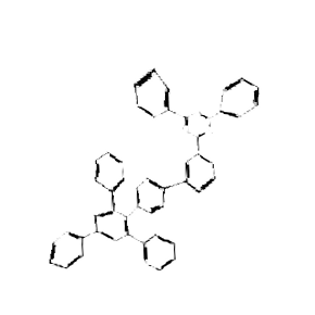 c1ccc(-c2cc(-c3ccccc3)c(-c3ccc(-c4cccc(-c5nc(-c6ccccc6)nc(-c6ccccc6)n5)c4)cc3)c(-c3ccccc3)c2)cc1